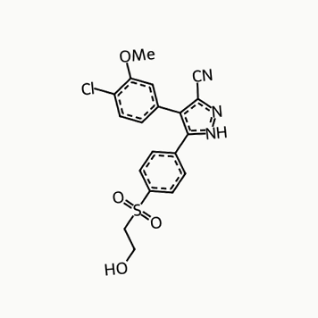 COc1cc(-c2c(C#N)n[nH]c2-c2ccc(S(=O)(=O)CCO)cc2)ccc1Cl